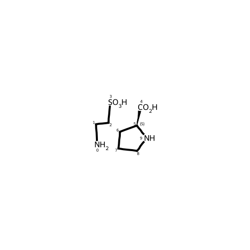 NCCS(=O)(=O)O.O=C(O)[C@@H]1CCCN1